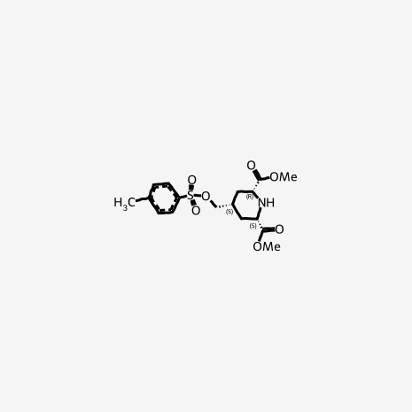 COC(=O)[C@@H]1C[C@H](COS(=O)(=O)c2ccc(C)cc2)C[C@H](C(=O)OC)N1